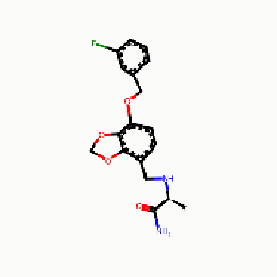 C[C@H](NCc1ccc(OCc2cccc(F)c2)c2c1OCO2)C(N)=O